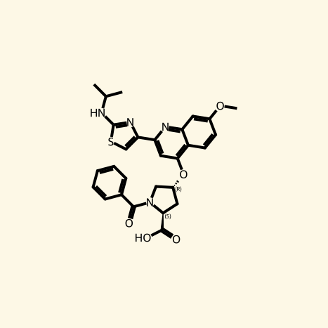 COc1ccc2c(O[C@@H]3C[C@@H](C(=O)O)N(C(=O)c4ccccc4)C3)cc(-c3csc(NC(C)C)n3)nc2c1